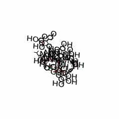 CC(=O)[C@H]1NC(=O)[C@@H](c2ccc(O)c(-c3c(O)cc(O)cc3[C@H](N)C(=O)O)c2)NC(=O)[C@@H]2NC(=O)[C@H](CC(N)=O)NC(=O)[C@H](NC(=O)[C@@H](CC(C)C)N(C)c3nc(Cl)nc(Nc4ccc(-c5c6ccc(=O)cc-6oc6cc(O)ccc56)c(C(=O)O)c4)n3)[C@H](O)c3ccc(c(Cl)c3)Oc3cc2cc(c3OC2OC(CO)C(O)C(O)C2OC2C[C@](C)(N)C(O)C(C)O2)Oc2ccc(cc2Cl)[C@H]1O